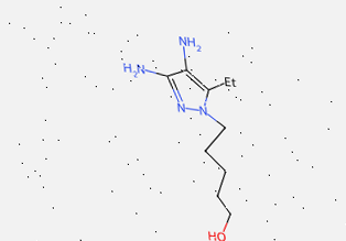 CCc1c(N)c(N)nn1CCCCCO